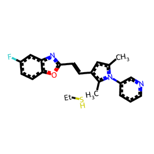 CCS.Cc1cc(C=Cc2nc3cc(F)ccc3o2)c(C)n1-c1cccnc1